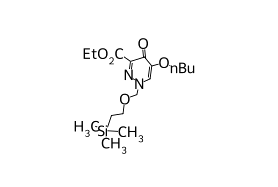 CCCCOc1cn(COCC[Si](C)(C)C)nc(C(=O)OCC)c1=O